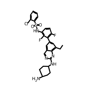 CCc1cc(-c2c(F)ccc(NS(=O)(=O)c3ccccc3Cl)c2F)cc2cnc(NC3CCC(N)CC3)nc12